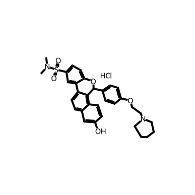 CN(C)S(=O)(=O)c1ccc2c(c1)-c1ccc3cc(O)ccc3c1C(c1ccc(OCCN3CCCCC3)cc1)O2.Cl